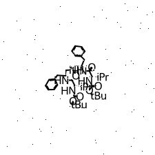 CC(C)[C@H](NC(=O)OC(C)(C)C)C(=O)N[C@H](CNC[C@H](Cc1ccccc1)NC(=O)[C@@H](NC(=O)OC(C)(C)C)C(C)C)Cc1ccccc1